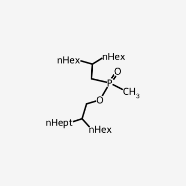 CCCCCCCC(CCCCCC)COP(C)(=O)CC(CCCCCC)CCCCCC